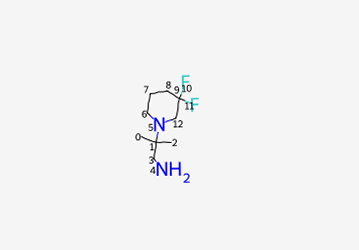 CC(C)(CN)N1CCCC(F)(F)C1